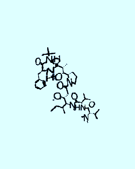 CC[C@H](C)[C@@H]([C@@H](CC(=O)N1CCC[C@H]1[C@H](OC)[C@@H](C)C(=O)N[C@@H](Cc1ccccc1)C(=O)NC(C)(C)C)OC)N(C)C(=O)[C@@H](NC(=O)[C@H](C(C)C)N(C)C)C(C)C